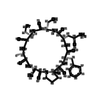 CC[C@H](C)[C@@H]1NC(=O)[C@H](C)NC(=O)[C@H](CC(C)C)NC(=O)[C@H](CO)NC(=O)[C@H](CC(N)=O)NC(=O)[C@H](Cc2ccccc2)NC(=O)[C@@H]2CCCN2C1=O